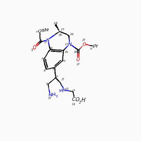 COC(=O)N1c2ccc(C(CN)CNCC(=O)O)cc2N(C(=O)OC(C)C)C[C@@H]1C